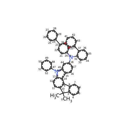 CC1(C)c2ccccc2-c2c1ccc1c2c2ccc(N(c3ccc(-c4ccccc4)cc3)c3ccccc3-c3ccccc3)cc2n1-c1ccccc1